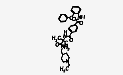 CCN1CCC(CNC(=O)C(C)(C)NC(=O)c2ccc(S(=O)(=O)Nc3ccccc3Oc3ccccc3)cc2)CC1